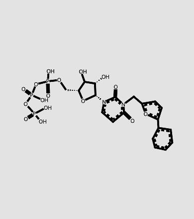 O=c1ccn([C@@H]2O[C@H](COP(=O)(O)OP(=O)(O)OP(=O)(O)O)C(O)[C@@H]2O)c(=O)n1Cc1ccc(-c2ccccc2)o1